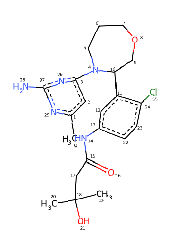 Cc1cc(N2CCCOCC2c2cc(NC(=O)CC(C)(C)O)ccc2Cl)nc(N)n1